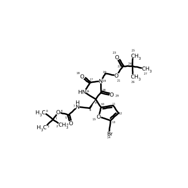 CC(C)(C)OC(=O)NC[C@@]1(c2ccc(Br)o2)NC(=O)N(COC(=O)C(C)(C)C)C1=O